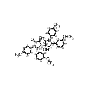 O=C1C(=O)N(c2ccc(C(F)(F)F)cc2)[C@@H](c2cccc(OC(F)(F)F)c2)C1C1(O)CC(c2cccc(OC(F)(F)F)c2)N(c2ccc(C(F)(F)F)cc2)C1=O